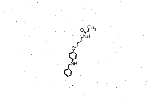 C=CC(=O)NCCCCOc1ccc(NCc2ccccc2)cc1